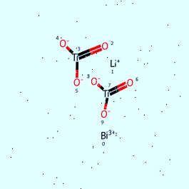 [Bi+3].[Li+].[O]=[Ti]([O-])[O-].[O]=[Ti]([O-])[O-]